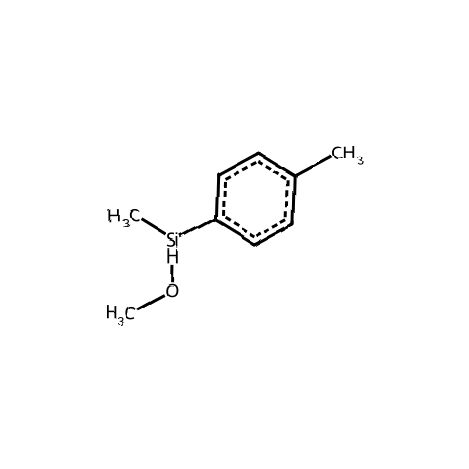 CO[SiH](C)c1ccc(C)cc1